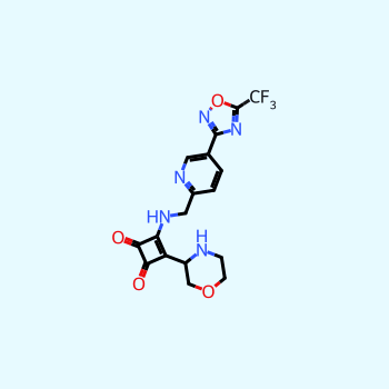 O=c1c(NCc2ccc(-c3noc(C(F)(F)F)n3)cn2)c(C2COCCN2)c1=O